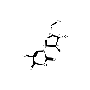 Cc1cn([C@@H]2O[C@H](CO)[C@H](O)[C@H]2F)c(=O)[nH]c1=O